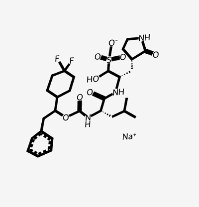 CC(C)C[C@H](NC(=O)OC(Cc1ccccc1)C1CCC(F)(F)CC1)C(=O)N[C@@H](C[C@@H]1CCNC1=O)C(O)S(=O)(=O)[O-].[Na+]